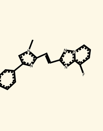 Cn1cc(-c2ccccc2)nc1C=Cc1nc2c(F)cccn2n1